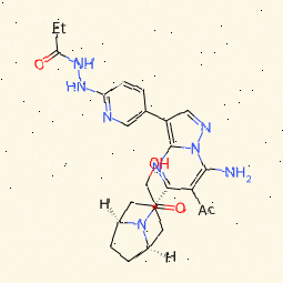 CCC(=O)NNc1ccc(-c2cnn3c(N)c(C(C)=O)c([C@@H]4C[C@H]5CC[C@@H](C4)N5C(=O)CO)nc23)cn1